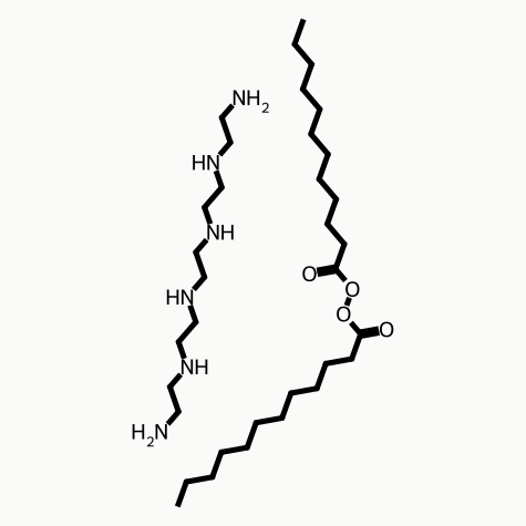 CCCCCCCCCCCC(=O)OOC(=O)CCCCCCCCCCC.NCCNCCNCCNCCNCCN